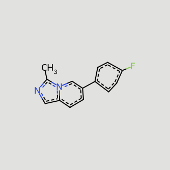 Cc1ncc2ccc(-c3ccc(F)cc3)cn12